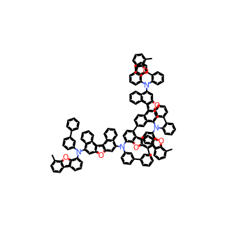 Cc1cccc2c1oc1c(N(c3cccc(-c4ccccc4)c3)c3cc4oc5cc(N(c6cccc(-c7ccccc7)c6)c6ccc(-c7ccc8c(c7)c(N(c7ccccc7-c7ccccc7)c7cccc9c7oc7c(C)cccc79)cc7oc9cc(N(c%10ccccc%10-c%10ccccc%10)c%10cccc%11c%10oc%10c(C)cccc%10%11)c%10ccccc%10c9c78)c7c6oc6c(C)cccc67)c6ccccc6c5c4c4ccccc34)cccc12